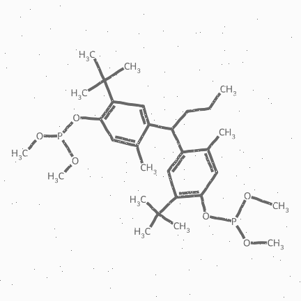 CCCC(c1cc(C(C)(C)C)c(OP(OC)OC)cc1C)c1cc(C(C)(C)C)c(OP(OC)OC)cc1C